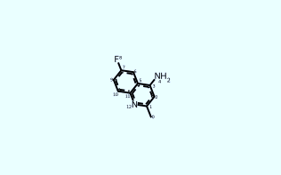 Cc1cc(N)c2cc(F)ccc2n1